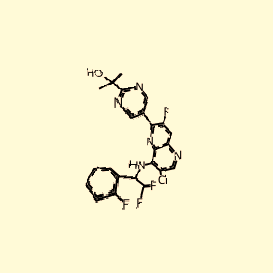 CC(C)(O)c1ncc(-c2nc3c(NC(c4ccccc4F)C(F)F)c(Cl)cnc3cc2F)cn1